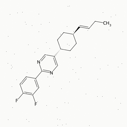 CCC=C[C@H]1CC[C@H](c2cnc(-c3ccc(F)c(F)c3)nc2)CC1